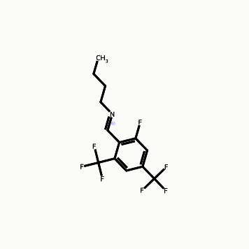 CCCC/N=C/c1c(F)cc(C(F)(F)F)cc1C(F)(F)F